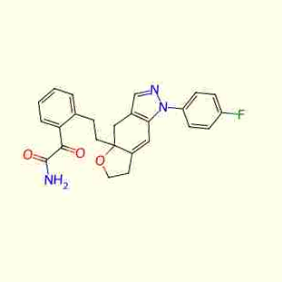 NC(=O)C(=O)c1ccccc1CCC12Cc3cnn(-c4ccc(F)cc4)c3C=C1CCO2